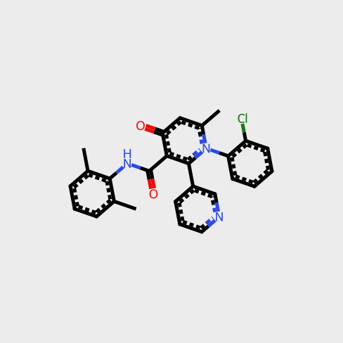 Cc1cccc(C)c1NC(=O)c1c(-c2cccnc2)n(-c2ccccc2Cl)c(C)cc1=O